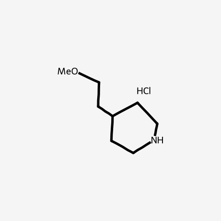 COCCC1CCNCC1.Cl